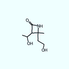 CC(O)C1C(=O)NC1(C)CCO